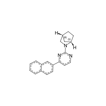 c1ccc2cc(-c3ccnc(N4C[C@@H]5CC[C@H]4C5)n3)ccc2c1